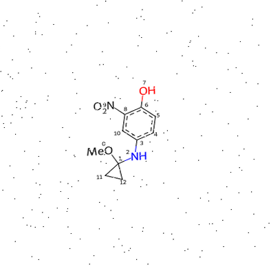 COC1(Nc2ccc(O)c([N+](=O)[O-])c2)CC1